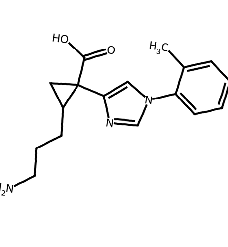 Cc1ccccc1-n1cnc(C2(C(=O)O)CC2CCCN)c1